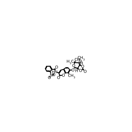 CO[C@@H]1[C@@H]2OC(=O)O[C@@H]2[C@H](Oc2ccc3cc(NC(=O)c4ccccc4[N+](=O)[O-])c(=O)oc3c2C)OC1(C)C